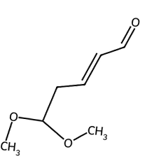 COC(CC=CC=O)OC